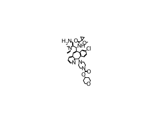 C=CN(C)/C(=C\N)[C@H](NC(=O)C1(OC)CC1)C1=Cc2cccnc2[C@@H](N2CCN(C(=O)OC3CCOCC3)CC2)c2ccc(Cl)cc21